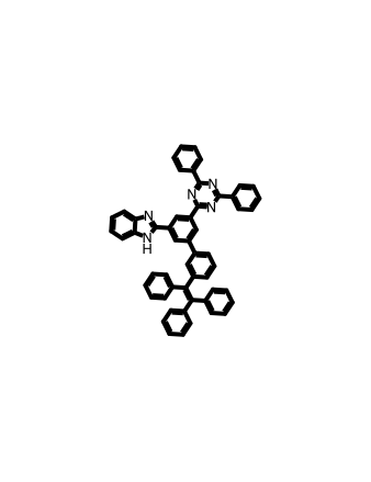 c1ccc(C(=C(c2ccccc2)c2cccc(-c3cc(-c4nc(-c5ccccc5)nc(-c5ccccc5)n4)cc(-c4nc5ccccc5[nH]4)c3)c2)c2ccccc2)cc1